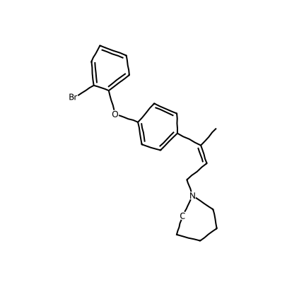 CC(=CCN1CCCCC1)c1ccc(Oc2ccccc2Br)cc1